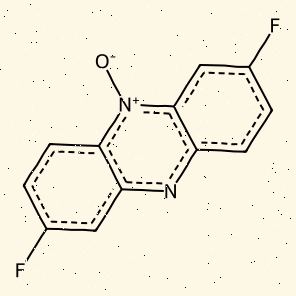 [O-][n+]1c2ccc(F)cc2nc2ccc(F)cc21